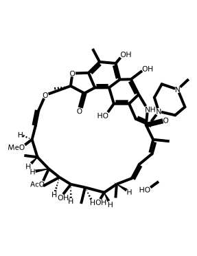 CO.CO[C@H]1C=CO[C@@]2(C)Oc3c(C)c(O)c4c(O)c(c(C=NN5CCN(C)CC5)c(O)c4c3C2=O)NC(=O)C(C)=CC=C[C@H](C)[C@H](O)[C@@H](C)[C@@H](O)[C@@H](C)[C@H](OC(C)=O)[C@@H]1C